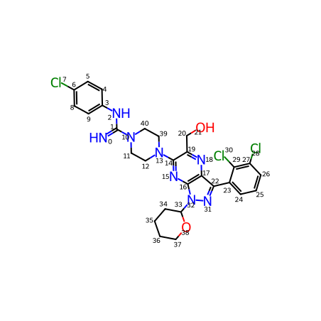 N=C(Nc1ccc(Cl)cc1)N1CCN(c2nc3c(nc2CO)c(-c2cccc(Cl)c2Cl)nn3C2CCCCO2)CC1